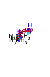 COc1cc2nc(C)nc(N[C@H](C)c3cc(-c4c(Cl)cccc4CN(C)C)cs3)c2cc1C1CCC(C(=O)N2CCC(CCOCC3CCN(C(=O)c4ccc(OC(F)(F)F)c(N5CCC(=O)NC5=O)c4)CC3)CC2)CC1